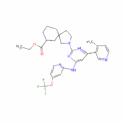 CCOC(=O)C1CCCC2(CCN(c3nc(Nc4cc(OC(F)(F)F)ccn4)cc(-c4cnccc4C)n3)C2)C1